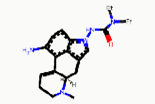 CCN(CC)C(=O)Nn1cc2c3c(c(N)ccc31)C1=CCCN(C)[C@@H]1C2